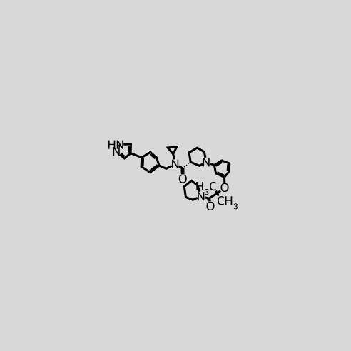 CC(C)(Oc1cccc(N2CCC[C@@H](C(=O)N(Cc3ccc(-c4cn[nH]c4)cc3)C3CC3)C2)c1)C(=O)N1CCCCC1